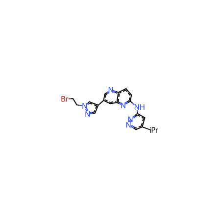 CC(C)c1cnnc(Nc2ccc3ncc(-c4cnn(CCBr)c4)cc3n2)c1